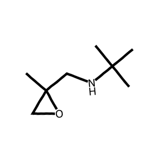 CC(C)(C)NCC1(C)CO1